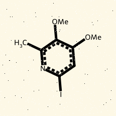 COc1cc(I)nc(C)c1OC